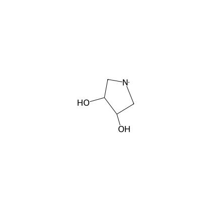 OC1C[N]CC1O